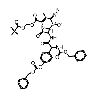 CC1=C(C(=O)OCOC(=O)C(C)(C)C)N2C(=O)C(NC(=O)C(NC(=O)OCc3ccccc3)c3ccc(OC(=O)OCc4ccccc4)cc3)[C@@H]2[S+]([O-])C1=[N+]=[N-]